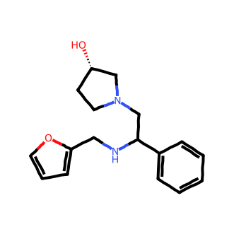 O[C@H]1CCN(CC(NCc2ccco2)c2ccccc2)C1